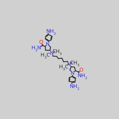 C[N+](C)(CCCCCC[N+](C)(C)C1CC(C(N)=O)N(c2ccc(N)cc2)C1)C1CC(C(N)=O)N(c2ccc(N)cc2)C1